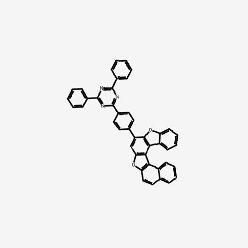 c1ccc(-c2nc(-c3ccccc3)nc(-c3ccc(-c4cc5oc6ccc7ccccc7c6c5c5c4oc4ccccc45)cc3)n2)cc1